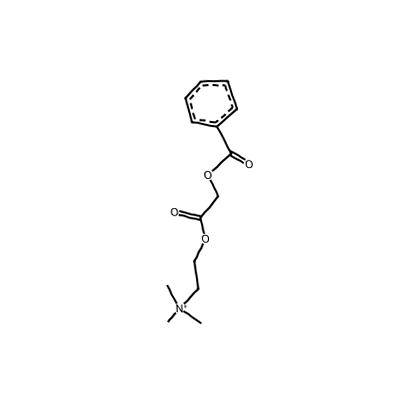 C[N+](C)(C)CCOC(=O)COC(=O)c1ccccc1